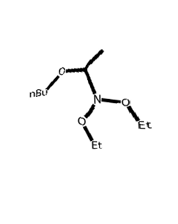 CCCCOC(C)N(OCC)OCC